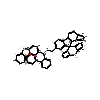 c1ccc(-c2ccccc2[C@@H](CCc2ccc3c(c2)C2(c4ccccc4Sc4ccccc42)c2c-3ccc3ccccc23)c2ccc3sc4ccccc4c3c2)cc1